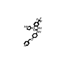 O=C(Nc1cc(C(F)(F)F)ccc1O[C@H]1CCNC1)NC1CCC(OCc2ccncc2)CC1